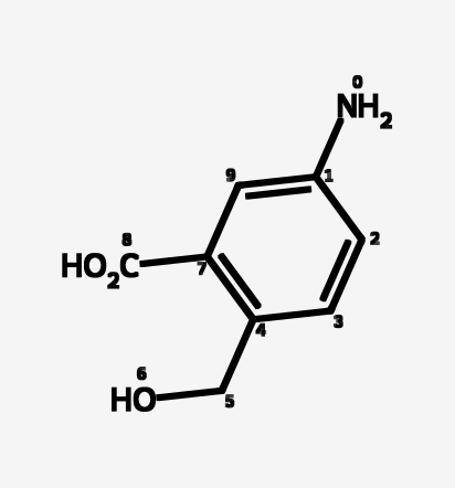 Nc1ccc(CO)c(C(=O)O)c1